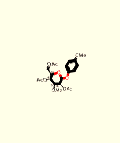 COc1ccc(OC2O[C@H](COC(C)=O)[C@@H](OC(C)=O)[C@H](OC)[C@H]2OC(C)=O)cc1